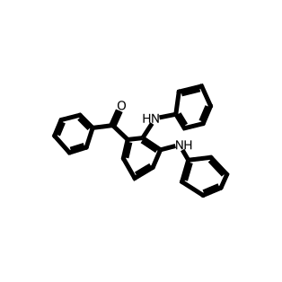 O=C(c1ccccc1)c1cccc(Nc2ccccc2)c1Nc1ccccc1